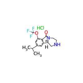 CC(C)c1cc(OC(F)(F)F)c2c(c1)[C@@H]1CNCCN1C2=O.Cl